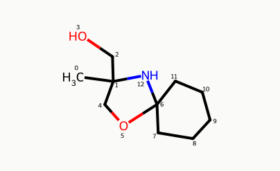 CC1(CO)COC2(CCCCC2)N1